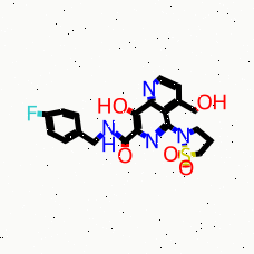 O=C(NCc1ccc(F)cc1)c1nc(N2CCCS2(=O)=O)c2c(CO)ccnc2c1O